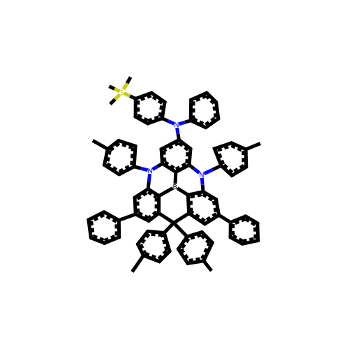 Cc1ccc(N2c3cc(N(c4ccccc4)c4ccc(S(C)(C)C)cc4)cc4c3B3c5c2cc(-c2ccccc2)cc5C(c2ccc(C)cc2)(c2ccc(C)cc2)c2cc(-c5ccccc5)cc(c23)N4c2ccc(C)cc2)cc1